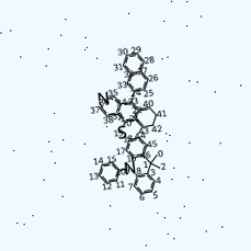 CC1(C)c2ccccc2N(c2ccccc2)c2cc(Sc3c4c(c(-c5ccc6ccccc6c5)c5cnccc35)=CCCC=4)ccc21